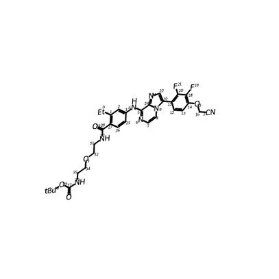 CCc1cc(Nc2nccn3c(-c4ccc(OCC#N)c(F)c4F)cnc23)ccc1C(=O)NCCOCCNC(=O)OC(C)(C)C